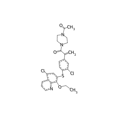 C=C(C(=O)N1CCN(C(C)=O)CC1)c1ccc(Sc2cc(Cl)c3cccnc3c2OCC)c(Cl)c1